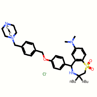 CCCCC1(CCCC)CS(=O)(=O)c2ccc(N(C)C)cc2C(c2ccc(OCc3ccc(C[N+]45CCN(CC4)CC5)cc3)cc2)N1.[Cl-]